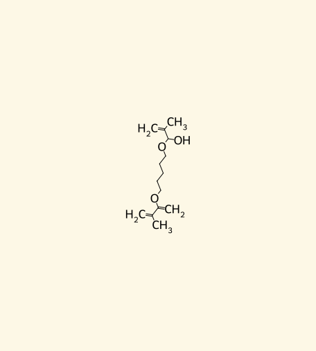 C=C(C)C(=C)OCCCCCOC(O)C(=C)C